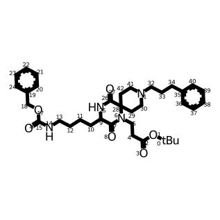 CC(C)(C)OC(=O)CCN1C(=O)C(CCCCNC(=O)OCc2ccccc2)NC(=O)C12CCN(CCCc1ccccc1)CC2